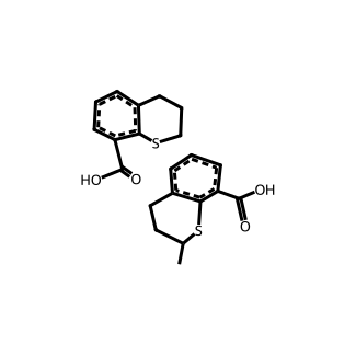 CC1CCc2cccc(C(=O)O)c2S1.O=C(O)c1cccc2c1SCCC2